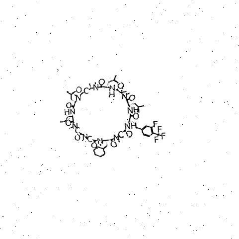 CC[C@H](C)[C@@H]1NC(=O)[C@H](CC(C)C)N(C)C(=O)C[C@@H](C)N(C)C(=O)[C@H](CC(C)C)NC(=O)C(C)(C)N(C)C(=O)[C@H](CC(C)C)NC(=O)[C@H](CCc2ccc(C(F)(F)F)c(F)c2)NC(=O)CN(C)C(=O)[C@H](CC2CCCCC2)N(C)C(=O)CN(C)C(=O)CN(C)C1=O